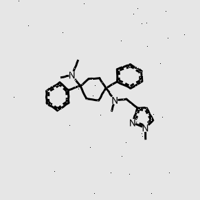 CN(C)C1(c2ccccc2)CCC(c2ccccc2)(N(C)Cc2ccn(C)n2)CC1